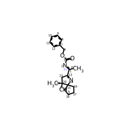 C/C(=N\C(=O)OCc1ccccc1)C1=NC2(CCCC2)C(C)(C)C1